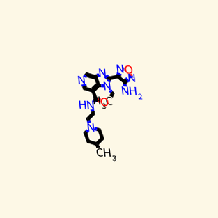 CCn1c(-c2nonc2N)nc2cncc(C(=O)NCCN3CCC(C)CC3)c21